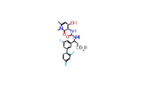 Cc1cc(O)c(NC(=O)NC(CC(=O)O)c2cc(F)cc(-c3ccc(F)cc3F)c2)c(=O)n1C